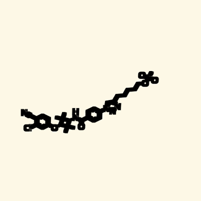 CC1(C)[C@H](NC(=O)c2ccc(-n3cc(CCCCCOS(C)(=O)=O)nn3)cc2)C(C)(C)[C@H]1Oc1ccc(C#N)c(Cl)c1